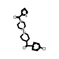 O=C(c1ccc(Cl)cc1)C1CCN(N2CCN(C(=O)c3cccs3)CC2)CC1